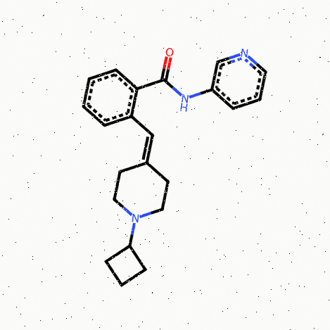 O=C(Nc1cccnc1)c1ccccc1C=C1CCN(C2CCC2)CC1